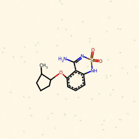 CC1CCCC1Oc1cccc2c1C(N)=NS(=O)(=O)N2